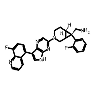 NC[C@]1(c2ccccc2F)[C@@H]2CCN(c3cnc4c(-c5ccc(F)c6ncccc56)c[nH]c4n3)C[C@@H]21